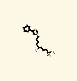 CC(C)CCCC(C)CCCCn1cnc(-c2ccccc2)c1